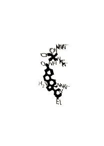 CCC1C=C(C2=CCC3[C@]2(CN=[N+]=[N-])CCC2C4C=CC(C(=O)NCC5(CN=[N+]=[N-])CN(N=[N+]=[N-])OC5=O)=CC4CC[C@]23N)C=NC1